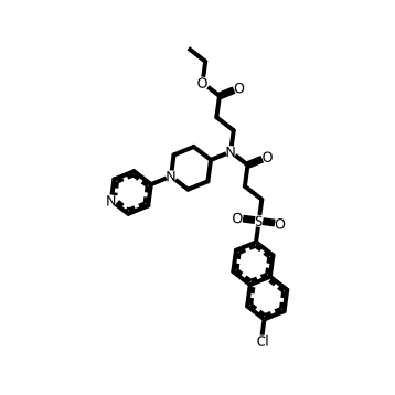 CCOC(=O)CCN(C(=O)CCS(=O)(=O)c1ccc2cc(Cl)ccc2c1)C1CCN(c2ccncc2)CC1